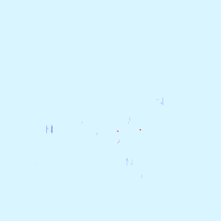 c1ccc(-c2ccc3c4cc(-c5cc(-c6ccc7c8ccccc8n(-c8ccccc8)c7c6)cc(-c6ccccc6N(c6ccccc6)c6ccccc6)c5)ccc4n(-c4ccccc4)c3c2)cc1